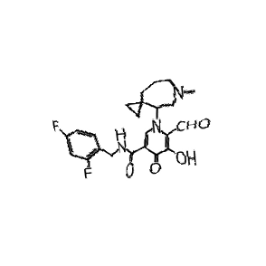 CN1CCCC2(CC2)C(n2cc(C(=O)NCc3ccc(F)cc3F)c(=O)c(O)c2C=O)C1